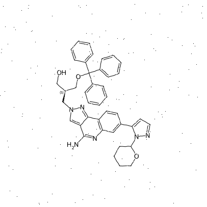 Nc1nc2cc(-c3ccnn3C3CCCCO3)ccc2c2nn(C[C@@H](CO)COC(c3ccccc3)(c3ccccc3)c3ccccc3)cc12